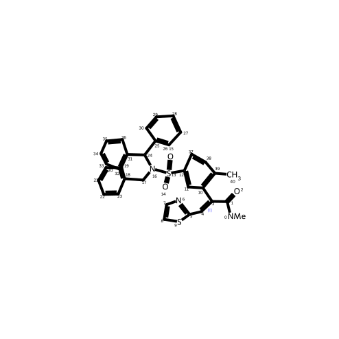 CNC(=O)/C(=C/c1nccs1)c1cc(S(=O)(=O)N(Cc2ccccc2)C(c2ccccc2)c2ccccc2)ccc1C